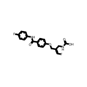 O=C(O)NC/C(=C\F)COc1ccc(C(=O)Nc2ccc(F)cc2)cc1